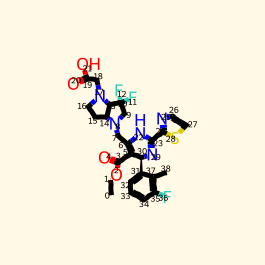 CCOC(=O)C1=C(CN2CC(F)(F)C3C2CCN3CC(=O)O)NC(c2nccs2)=N[C@H]1c1cccc(F)c1C